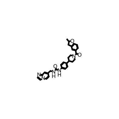 CC1Cc2cc(C(=O)N3CCC(c4ccc(NC(=O)NCc5ccn6ccnc6c5)cc4)CC3)ccc2O1